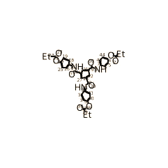 CCC(=O)Oc1ccc(NC(=O)c2cc(C(=O)Nc3ccc(OC(=O)CC)cc3)cc(C(=O)Nc3ccc(OC(=O)CC)cc3)c2)cc1